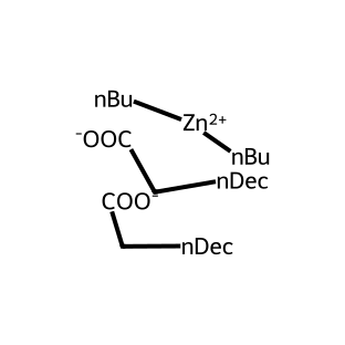 CCCCCCCCCCCC(=O)[O-].CCCCCCCCCCCC(=O)[O-].CCC[CH2][Zn+2][CH2]CCC